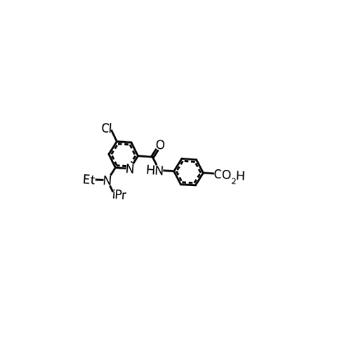 CCN(c1cc(Cl)cc(C(=O)Nc2ccc(C(=O)O)cc2)n1)C(C)C